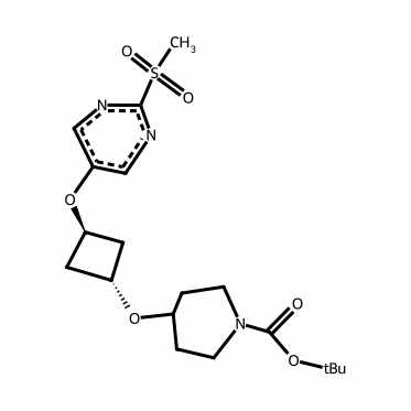 CC(C)(C)OC(=O)N1CCC(O[C@H]2C[C@H](Oc3cnc(S(C)(=O)=O)nc3)C2)CC1